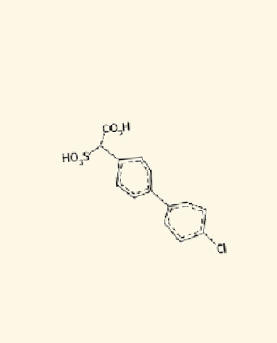 O=C(O)C(c1ccc(-c2ccc(Cl)cc2)cc1)S(=O)(=O)O